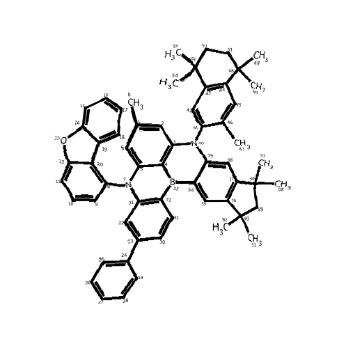 Cc1cc2c3c(c1)N(c1cccc4oc5ccccc5c14)c1cc(-c4ccccc4)ccc1B3c1cc3c(cc1N2c1cc2c(cc1C)C(C)(C)CCC2(C)C)C(C)(C)CC3(C)C